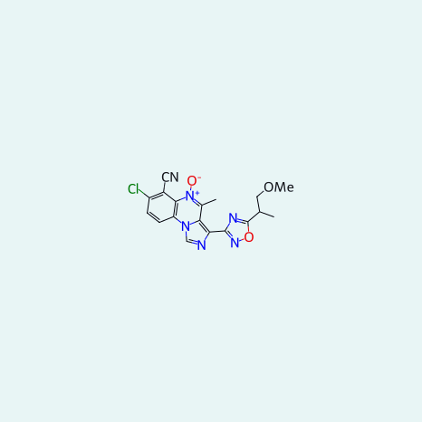 COCC(C)c1nc(-c2ncn3c2c(C)[n+]([O-])c2c(C#N)c(Cl)ccc23)no1